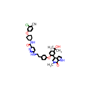 Cn1cc(-c2cc(C(C)(C)O)ccc2Oc2ccc(CCNc3ccc(C(=O)N[C@H]4CC[C@H](Oc5ccc(C#N)c(Cl)c5)CC4)nn3)cc2)c2cc[nH]c2c1=O